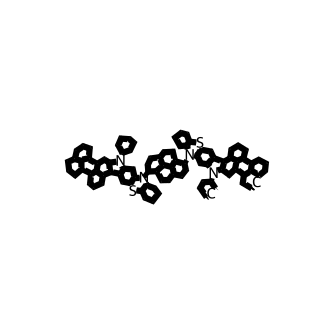 c1ccc(-n2c3cc4c(cc3c3c5cccc6c7cccc8cccc(c(cc32)c65)c87)sc2ccccc2n4-c2ccc3ccc4c(-n5c6ccccc6sc6cc7c8c9cccc%10c%11cccc%12cccc(c(cc8n(-c8ccccc8)c7cc65)c%109)c%12%11)ccc5ccc2c3c54)cc1